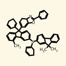 Cc1cccc2c1-c1cc(N(C3=CC=CCC3)c3ccc4c(c3)C(C)(C)c3ccccc3-4)ccc1C2(C1=CCCC=C1)C1=CCC2N=C(c3ccccc3)OC2=C1